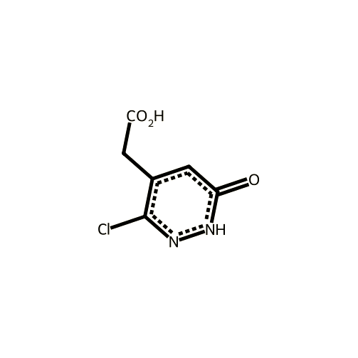 O=C(O)Cc1cc(=O)[nH]nc1Cl